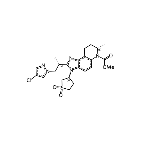 COC(=O)N1c2ccc3c(nc([C@@H](C)Cn4cc(Cl)cn4)n3[C@H]3CCS(=O)(=O)C3)c2CC[C@@H]1C